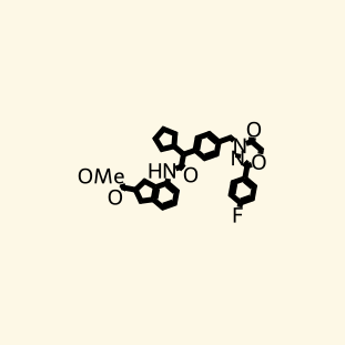 COC(=O)C1Cc2cccc(NC(=O)C(c3ccc(CN4N=C(c5ccc(F)cc5)OCC4=O)cc3)C3CCCC3)c2C1